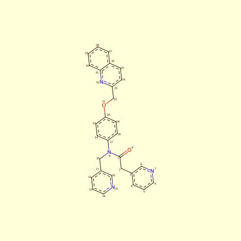 O=C(Cc1cccnc1)N(Cc1cccnc1)c1ccc(OCc2ccc3ccccc3n2)cc1